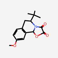 COc1ccc2c(c1)C1OC(=O)C(=O)N1C(C(C)(C)C)C2